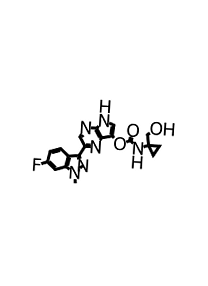 Cn1nc(-c2cnc3[nH]cc(OC(=O)NC4(CO)CC4)c3n2)c2ccc(F)cc21